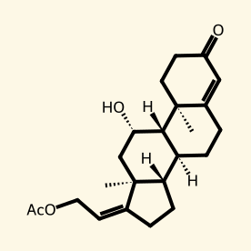 CC(=O)OC/C=C1/CC[C@H]2[C@@H]3CCC4=CC(=O)CC[C@]4(C)[C@H]3[C@@H](O)C[C@]12C